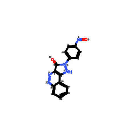 O=Nc1ccc(-n2[nH]c3c(nnc4ccccc43)c2=O)cc1